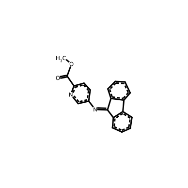 COC(=O)c1ccc(N=C2c3ccccc3-c3ccccc32)cn1